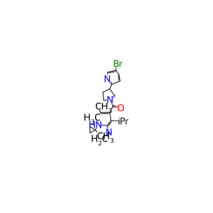 C=N/C(NC1(C)CC1)=C(/C(C(=O)N1CCC(c2ccc(Br)cn2)C1)=C(C)C)C(C)C